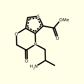 COC(=O)c1scc2c1N(CC(C)N)C(=O)CO2